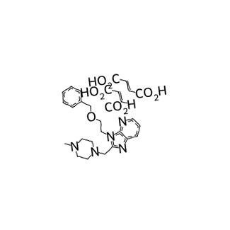 CN1CCN(Cc2nc3cccnc3n2CCOCc2ccccc2)CC1.O=C(O)C=CC(=O)O.O=C(O)C=CC(=O)O